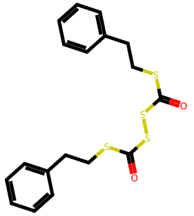 O=C(SCCc1ccccc1)SSC(=O)SCCc1ccccc1